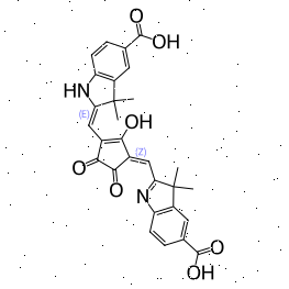 CC1(C)C(/C=C2\C(=O)C(=O)C(/C=C3/Nc4ccc(C(=O)O)cc4C3(C)C)=C2O)=Nc2ccc(C(=O)O)cc21